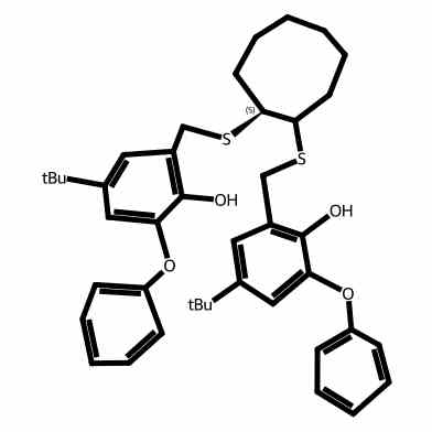 CC(C)(C)c1cc(CSC2CCCCCC[C@@H]2SCc2cc(C(C)(C)C)cc(Oc3ccccc3)c2O)c(O)c(Oc2ccccc2)c1